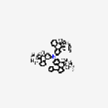 CC1(C)c2ccccc2-c2cc(N(c3ccc4c(c3)-c3ccccc3C(C)(C)C4(C)C)c3ccc4c(c3)C(C)(C)C(C)(C)c3cccc(-c5ccccc5)c3-4)ccc2C1(C)C